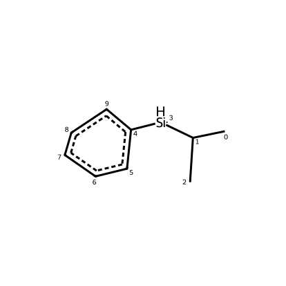 CC(C)[SiH]c1ccccc1